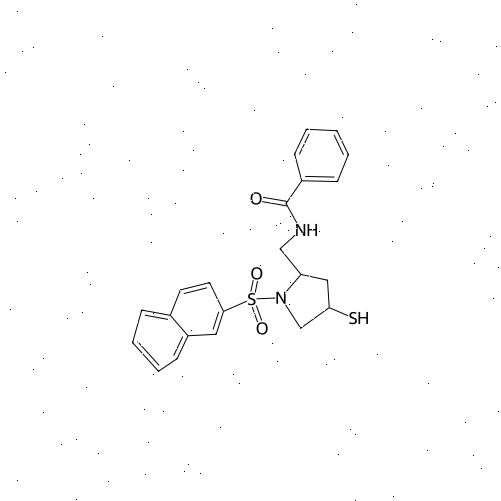 O=C(NCC1CC(S)CN1S(=O)(=O)c1ccc2ccccc2c1)c1ccccc1